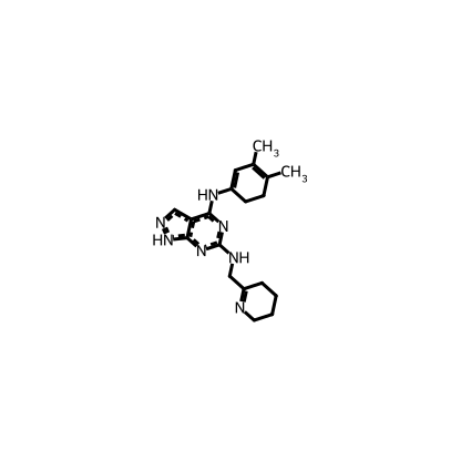 CC1=C(C)CCC(Nc2nc(NCC3=NCCCC3)nc3[nH]ncc23)=C1